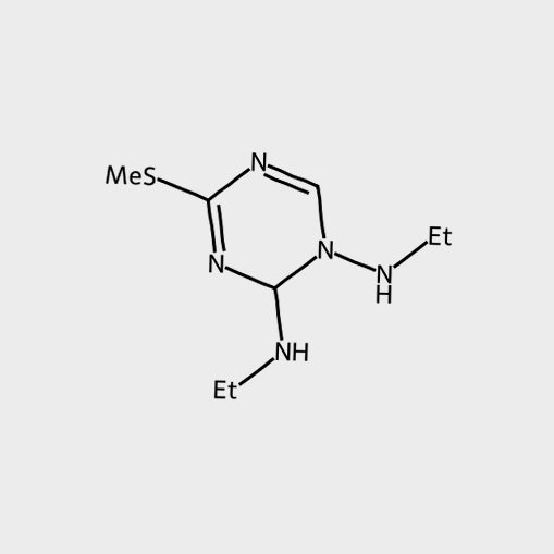 CCNC1N=C(SC)N=CN1NCC